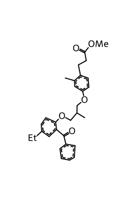 CCc1ccc(OCC(C)COc2ccc(CCC(=O)OC)c(C)c2)c(C(=O)c2ccccc2)c1